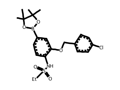 CCS(=O)(=O)Nc1ccc(B2OC(C)(C)C(C)(C)O2)cc1OCc1ccc(Cl)cc1